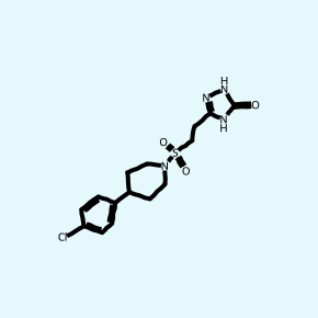 O=c1[nH]nc(CCS(=O)(=O)N2CCC(c3ccc(Cl)cc3)CC2)[nH]1